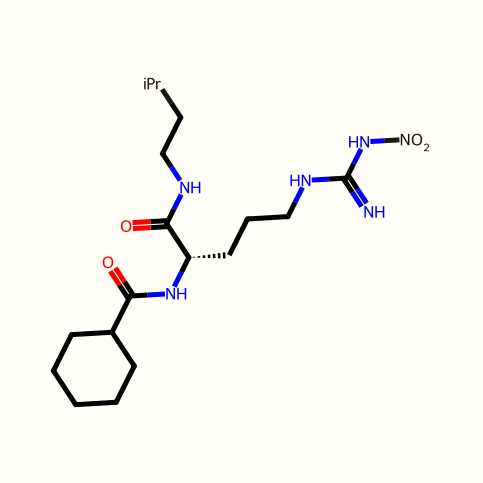 CC(C)CCNC(=O)[C@H](CCCNC(=N)N[N+](=O)[O-])NC(=O)C1CCCCC1